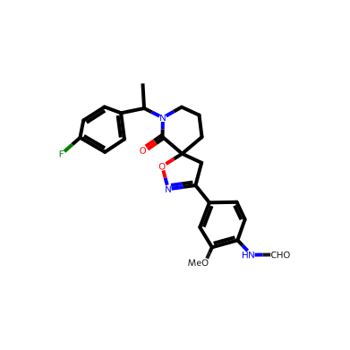 COc1cc(C2=NOC3(CCCN(C(C)c4ccc(F)cc4)C3=O)C2)ccc1NC=O